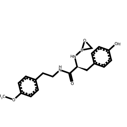 COc1ccc(CCNC(=O)[C@H](Cc2ccc(O)cc2)NB2CO2)cc1